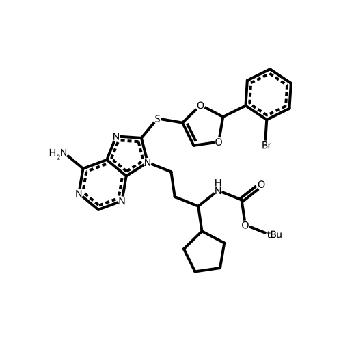 CC(C)(C)OC(=O)NC(CCn1c(SC2=COC(c3ccccc3Br)O2)nc2c(N)ncnc21)C1CCCC1